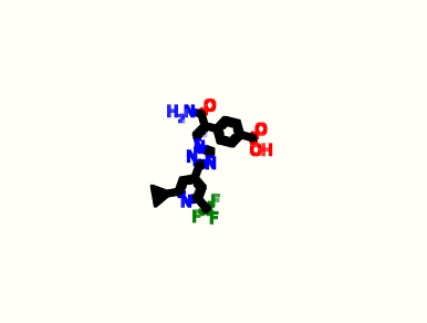 NC(=O)/C(=C/n1cnc(-c2cc(C3CC3)nc(C(F)(F)F)c2)n1)c1ccc(C(=O)O)cc1